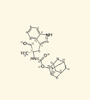 C[C@@]([CH]c1c[nH]c2ccccc12)(C=O)NC(=O)OC1C2CC3CC(C2)CC1C3